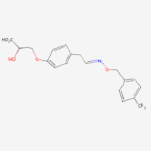 O=C(O)C(O)COc1ccc(CC=NOCc2ccc(C(F)(F)F)cc2)cc1